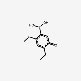 CCn1cc(OC)c(B(O)O)cc1=O